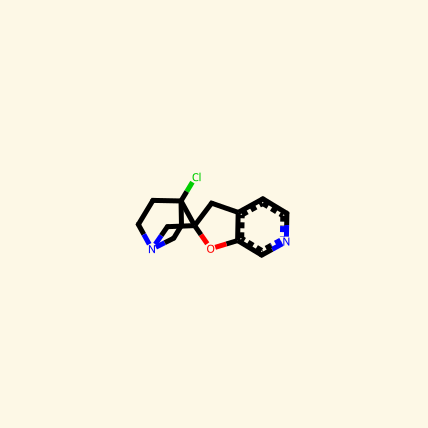 ClC12CCN(CC1)CC21Cc2ccncc2O1